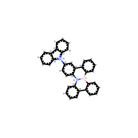 c1ccc2c(c1)B1c3ccccc3-c3cc(-n4c5ccccc5c5ccccc54)ccc3N1c1ccccc1-2